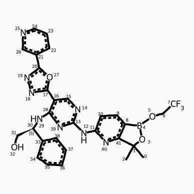 CC1(C)OB(OCC(F)(F)F)c2ccc(Nc3ncc(-c4nnc(-c5cccnc5)o4)c(N[C@H](CO)c4ccccc4)n3)nc21